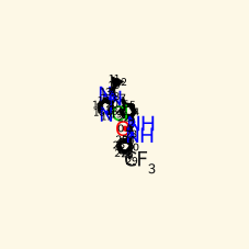 O=C(Nc1ccc(Cn2c(C3CC3)nc3ccnc(Cl)c32)cc1)Nc1cccc(C(F)(F)F)c1